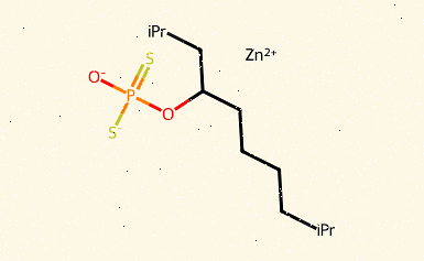 CC(C)CCCCC(CC(C)C)OP([O-])(=S)[S-].[Zn+2]